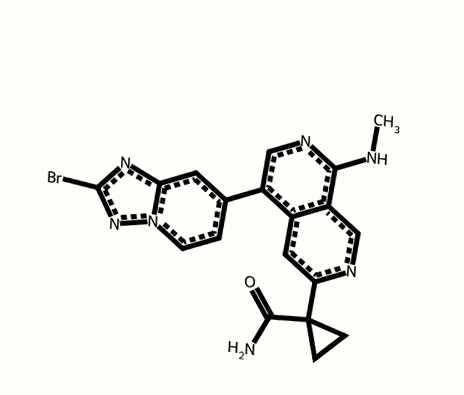 CNc1ncc(-c2ccn3nc(Br)nc3c2)c2cc(C3(C(N)=O)CC3)ncc12